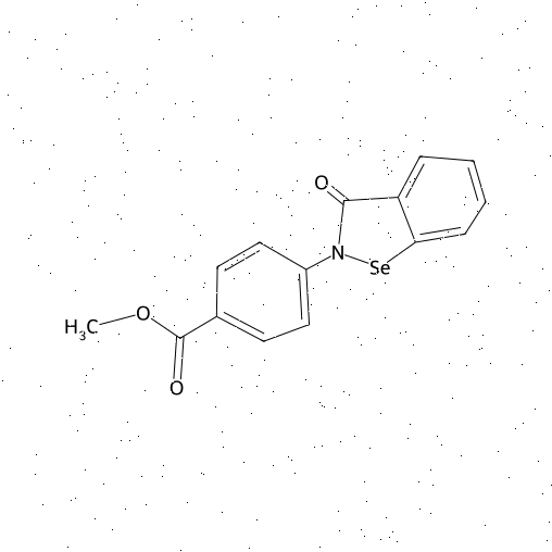 COC(=O)c1ccc(-n2[se]c3ccccc3c2=O)cc1